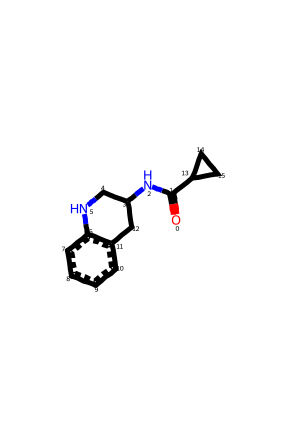 O=C(NC1CNc2ccccc2C1)C1CC1